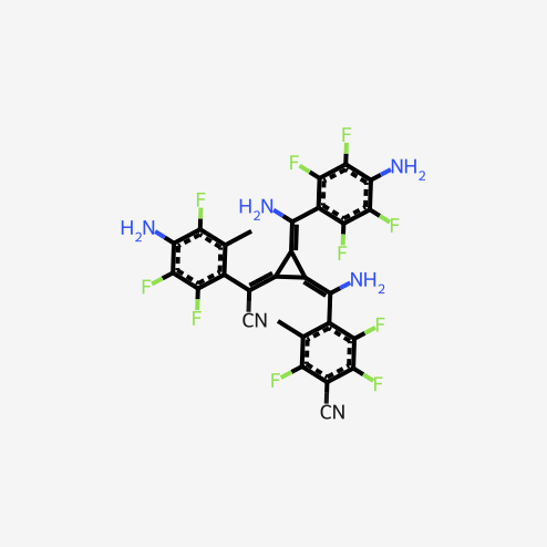 Cc1c(F)c(N)c(F)c(F)c1C(C#N)=C1C(=C(/N)c2c(C)c(F)c(C#N)c(F)c2F)/C1=C(/N)c1c(F)c(F)c(N)c(F)c1F